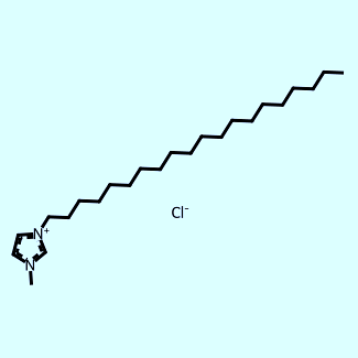 CCCCCCCCCCCCCCCCCCCC[n+]1ccn(C)c1.[Cl-]